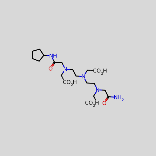 NC(=O)CN(CCN(CCN(CC(=O)O)CC(=O)NC1CCCC1)CC(=O)O)CC(=O)O